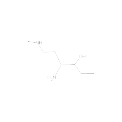 CCC(O)C(N)CCNC